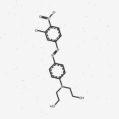 O=[N+]([O-])c1ccc(/N=N/c2ccc(N(CCO)CCO)cc2)cc1Cl